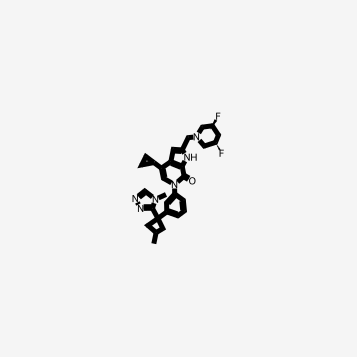 CC1CC(c2cccc(-n3cc(C4CC4)c4cc(CN5C[C@@H](F)C[C@H](F)C5)[nH]c4c3=O)c2)(c2nncn2C)C1